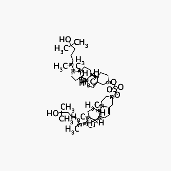 C[C@H](CCCC(C)(C)O)[C@H]1CC[C@H]2[C@@H]3CC=C4C[C@@H](OS(=O)(=O)O[C@H]5CC[C@@]6(C)C(=CC[C@H]7[C@@H]8CC[C@H]([C@H](C)CCCC(C)(C)O)[C@@]8(C)CC[C@@H]76)C5)CC[C@]4(C)[C@H]3CC[C@]12C